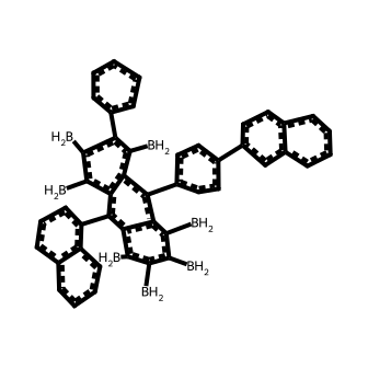 Bc1c(B)c(B)c2c(-c3cccc4ccccc34)c3c(B)c(B)c(-c4ccccc4)c(B)c3c(-c3ccc(-c4ccc5ccccc5c4)cc3)c2c1B